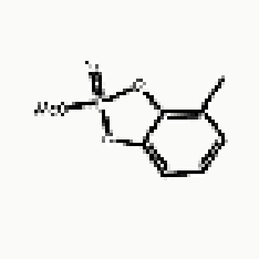 COP1(=O)Oc2cccc(C)c2O1